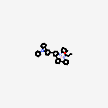 C=C/C=C(\C=C/C)N1B2c3c(cccc3-c3cc(-c4ccc5c(c4)c4ccccc4n5-c4ccccc4)ccc3N2c2ccccc2)-c2ccccc21